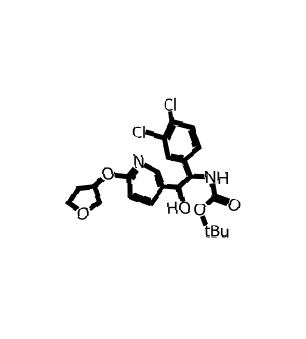 CC(C)(C)OC(=O)NC(c1ccc(Cl)c(Cl)c1)C(O)c1ccc(OC2CCOC2)nc1